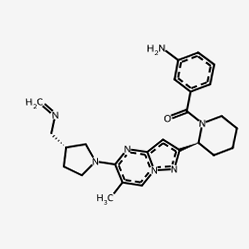 C=NC[C@H]1CCN(c2nc3cc([C@@H]4CCCCN4C(=O)c4cccc(N)c4)nn3cc2C)C1